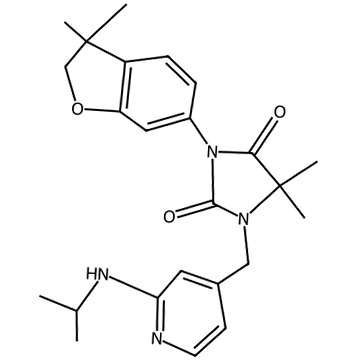 CC(C)Nc1cc(CN2C(=O)N(c3ccc4c(c3)OCC4(C)C)C(=O)C2(C)C)ccn1